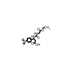 CCOC(=O)CNC(=O)NC(CC(=O)O)c1ccc([N+](=O)[O-])cc1